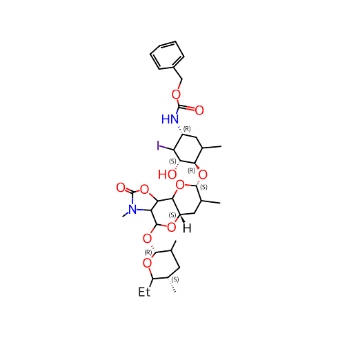 CCC1O[C@H](OC2O[C@H]3CC(C)[C@@H](O[C@@H]4C(C)C[C@@H](NC(=O)OCc5ccccc5)C(I)[C@H]4O)OC3C3OC(=O)N(C)C23)C(C)C[C@@H]1C